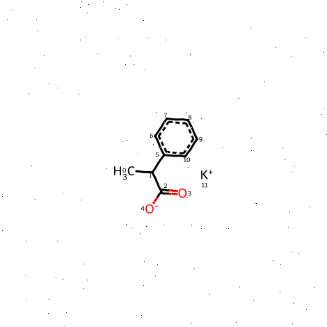 CC(C(=O)[O-])c1ccccc1.[K+]